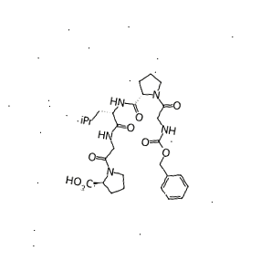 CC(C)C[C@H](NC(=O)[C@@H]1CCCN1C(=O)CNC(=O)OCc1ccccc1)C(=O)NCC(=O)N1CCC[C@H]1C(=O)O